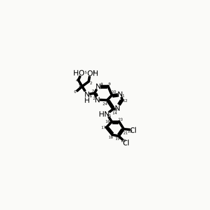 CC(CO)(CO)Nc1ncc2ncnc(Nc3ccc(Cl)c(Cl)c3)c2n1